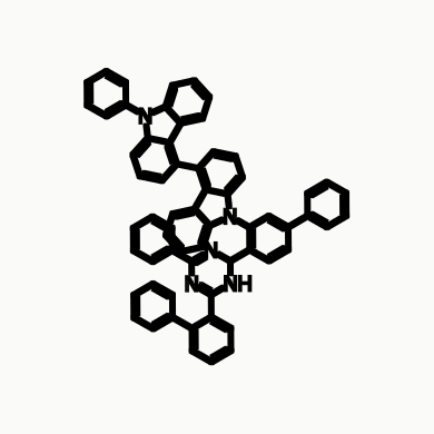 c1ccc(C2=NC(c3ccc(-c4ccccc4)cc3-n3c4ccccc4c4c(-c5cccc6c5c5ccccc5n6-c5ccccc5)cccc43)NC(c3ccccc3-c3ccccc3)=N2)cc1